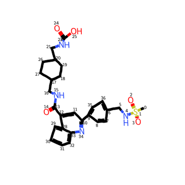 CS(=O)(=O)NCc1ccc(-c2cc(C(=O)NCC3CCC(CNC(=O)O)CC3)c3ccccc3n2)cc1